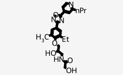 CCCc1cc(-c2nc(-c3cc(C)c(OCC(O)CNC(=O)CO)c(CC)c3)no2)ccn1